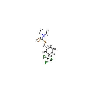 CCN(CC)C(=S)SCc1cccc(C(F)(F)F)c1